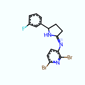 Fc1cccc(C2CC/C(=N/c3ccc(Br)nc3Br)N2)c1